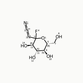 [N-]=[N+]=NC1(F)O[C@H](CO)[C@@H](O)[C@H](O)[C@H]1O